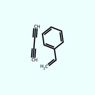 C#CC#C.C=Cc1ccccc1